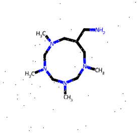 CN1CC(CN)CN(C)CN(C)CN(C)C1